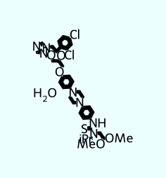 COC(CN(C(=S)Nc1ccc(N2CCN(c3ccc(OCC4COC(Cn5cncn5)(c5ccc(Cl)cc5Cl)O4)cc3)CC2)cc1)C(C)C)OC.O